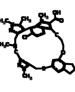 Cc1c2c(nn1C)CN(C)Cc1cc(n(C)n1)CSc1cc3c(c(c1)OCCCc1c(C(=O)O)n(C)c4c-2c(Cl)ccc14)CCC3